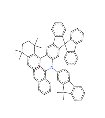 CC1(C)CCC(C)(C)c2c(-c3cc4c(cc3N(c3ccc5c(c3)C(C)(C)c3ccccc3-5)c3cccc5ccccc35)C3(c5ccccc5-c5ccccc53)c3ccccc3-4)cccc21